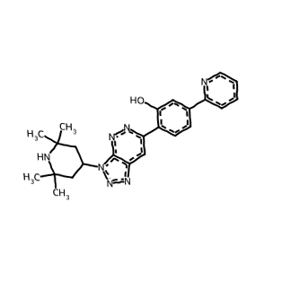 CC1(C)CC(n2nnc3cc(-c4ccc(-c5ccccn5)cc4O)nnc32)CC(C)(C)N1